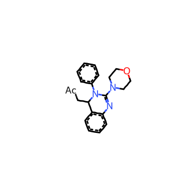 CC(=O)CC1c2ccccc2N=C(N2CCOCC2)N1c1ccccc1